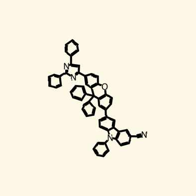 N#Cc1ccc2c(c1)c1cc(-c3ccc4c(c3)C(c3ccccc3)(c3ccccc3)c3cc(-c5cc(-c6ccccc6)nc(-c6ccccc6)n5)ccc3O4)ccc1n2-c1ccccc1